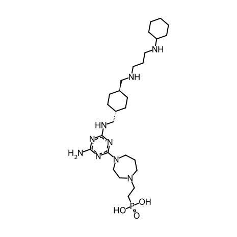 Nc1nc(NC[C@H]2CC[C@H](CNCCCNC3CCCCC3)CC2)nc(N2CCCN(CCP(=O)(O)O)CC2)n1